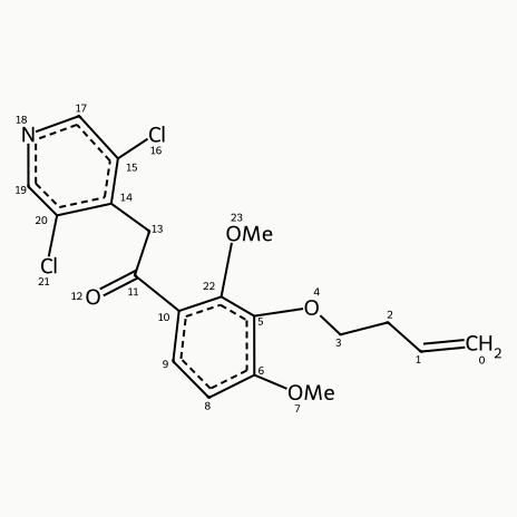 C=CCCOc1c(OC)ccc(C(=O)Cc2c(Cl)cncc2Cl)c1OC